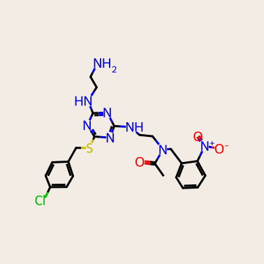 CC(=O)N(CCNc1nc(NCCN)nc(SCc2ccc(Cl)cc2)n1)Cc1ccccc1[N+](=O)[O-]